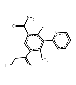 CCC(=O)c1cc(C(N)=O)c(F)c(-c2ccccn2)c1N